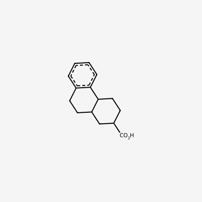 O=C(O)C1CCC2c3ccccc3CCC2C1